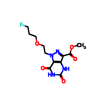 COC(=O)c1nn(CCOCCCF)c2c(=O)[nH]c(=O)[nH]c12